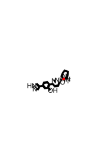 Oc1cc(-c2cn[nH]c2)ccc1-c1ccc(O[C@H]2CC3CCC([C@@H]2F)N3NI)nn1